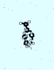 CN1CCN(c2cnc(Oc3cc(CN4CCC(COC(N)=O)CC4)cc(-c4cc(Cl)cc(Cl)c4)n3)cn2)CC1